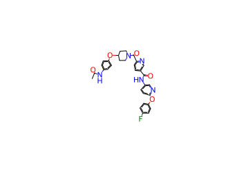 CC(=O)Nc1ccc(OC2CCN(C(=O)c3ccc(C(=O)Nc4ccc(Oc5ccc(F)cc5)nc4)cn3)CC2)cc1